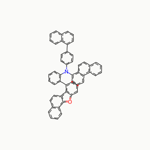 c1ccc(N(c2ccc(-c3cccc4ccccc34)cc2)c2cccc3c2ccc2ccccc23)c(-c2cccc3oc4c5ccccc5ccc4c23)c1